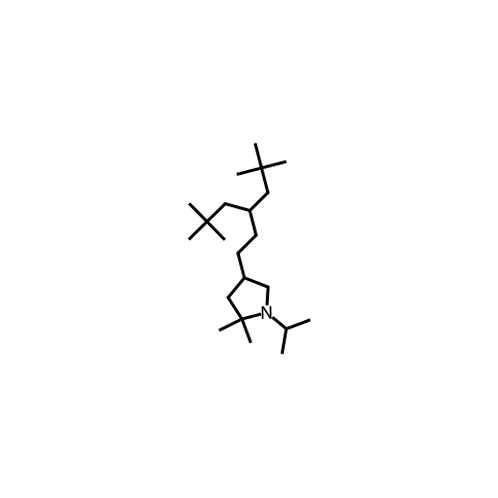 CC(C)N1CC(CCC(CC(C)(C)C)CC(C)(C)C)CC1(C)C